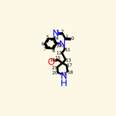 C=C1C=Nc2ccccc2N1CCCC1(C=O)CCNCC1